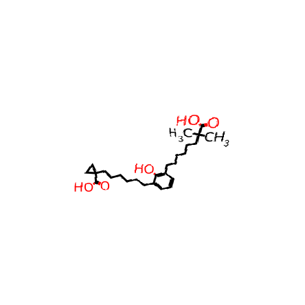 CC(C)(CCCCCCc1cccc(CCCCCCC2(C(=O)O)CC2)c1O)C(=O)O